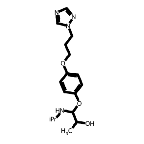 CC(C)NC(Oc1ccc(OCCCn2cncn2)cc1)C(C)O